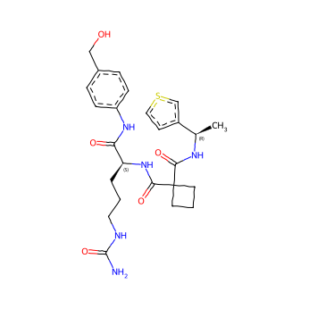 C[C@@H](NC(=O)C1(C(=O)N[C@@H](CCCNC(N)=O)C(=O)Nc2ccc(CO)cc2)CCC1)c1ccsc1